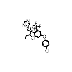 CCC(Cl)C(O)(Cn1cncn1)c1ccc(Oc2ccc(Cl)cc2)cc1C(F)(F)F